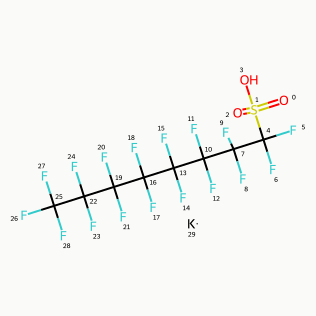 O=S(=O)(O)C(F)(F)C(F)(F)C(F)(F)C(F)(F)C(F)(F)C(F)(F)C(F)(F)C(F)(F)F.[K]